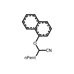 CCCCCC(C#N)Oc1cccc2ccccc12